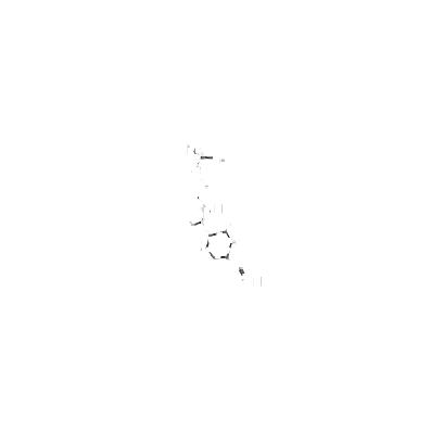 C#Cc1ccc(C(=O)NCCOC(N)=O)cc1